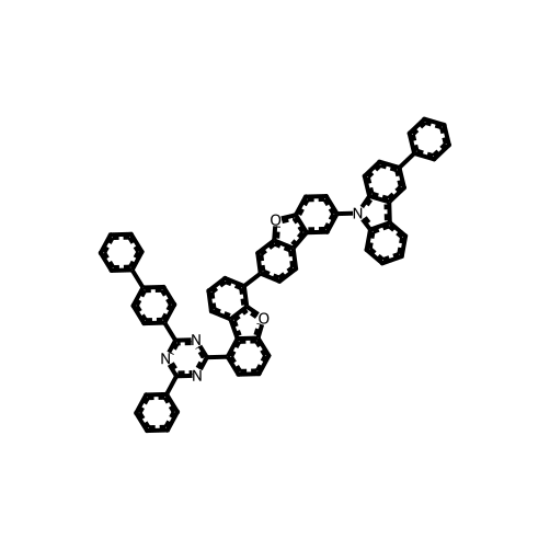 c1ccc(-c2ccc(-c3nc(-c4ccccc4)nc(-c4cccc5oc6c(-c7ccc8c(c7)oc7ccc(-n9c%10ccccc%10c%10cc(-c%11ccccc%11)ccc%109)cc78)cccc6c45)n3)cc2)cc1